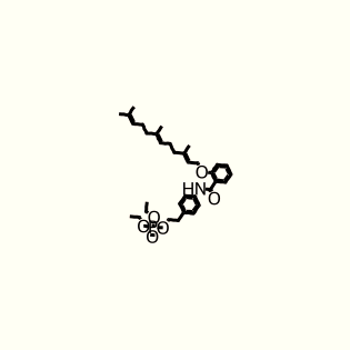 CCOP(=O)(OCC)OCCc1ccc(NC(=O)c2ccccc2OC/C=C(\C)CC/C=C(\C)CCC=C(C)C)cc1